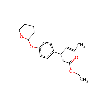 C/C=C/[C@H](CC(=O)OCC)c1ccc(OC2CCCCO2)cc1